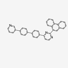 c1cncc(-c2ccc(-c3ccc(-c4ccnc(-c5cc6ccccc6c6ccccc56)n4)cc3)cc2)c1